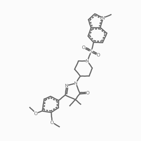 COc1ccc(C2=NN(C3CCN(S(=O)(=O)c4ccc5c(ccn5C)c4)CC3)C(=O)C2(C)C)cc1OC